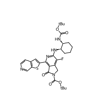 CC(C)(C)OC(=O)N[C@H]1CCCC[C@H]1Nc1nc(-c2cc3ccncc3s2)c2c(c1F)CN(C(=O)OC(C)(C)C)C2=O